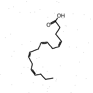 CCC/C=C\C/C=C\C/C=C\C/C=C\CCC(=O)O